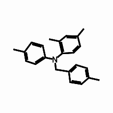 Cc1ccc(CN(c2ccc(C)cc2)c2ccc(C)cc2C)cc1